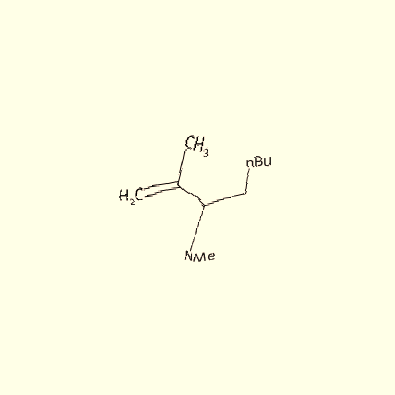 C=C(C)C(CCCCC)NC